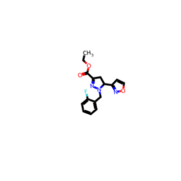 CCOC(=O)C1=NN(Cc2ccccc2F)C(c2ccon2)C1